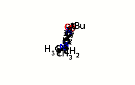 C=C/C(=N\C=C(C)C)N1CCC(C2CCN(C(=O)OC(C)(C)C)CC2)CC1